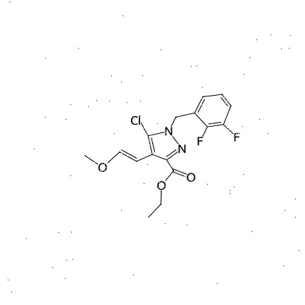 CCOC(=O)c1nn(Cc2cccc(F)c2F)c(Cl)c1C=COC